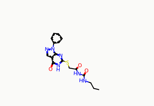 CCCNC(=O)NC(=O)CSc1nc2c(cnn2-c2ccccc2)c(=O)[nH]1